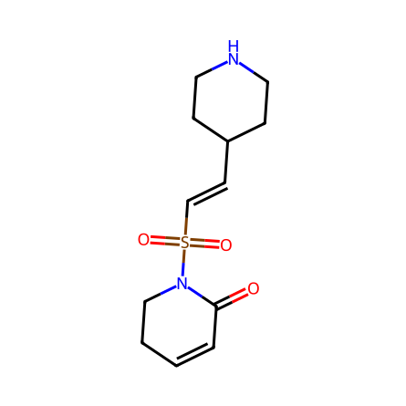 O=C1C=CCCN1S(=O)(=O)/C=C/C1CCNCC1